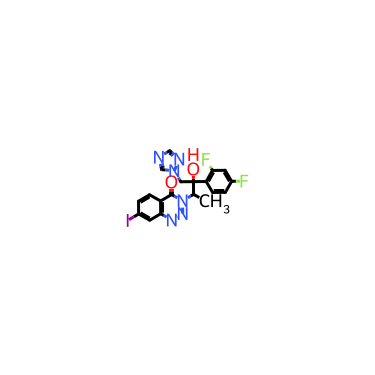 CC(n1nnc2cc(I)ccc2c1=O)C(O)(Cn1cncn1)c1ccc(F)cc1F